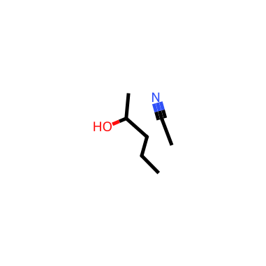 CC#N.CCCC(C)O